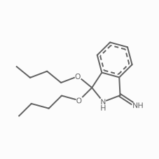 CCCCOC1(OCCCC)NC(=N)c2ccccc21